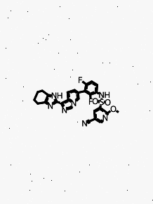 COc1ncc(C#N)cc1S(=O)(=O)Nc1ccc(F)c(-c2ccc3c(-c4nc5c([nH]4)CCCC5)ncn3c2)c1F